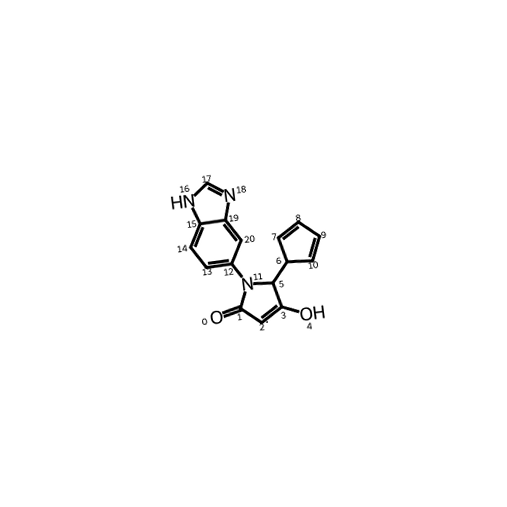 O=C1[C]=C(O)C(C2C=CC=C2)N1c1ccc2[nH]cnc2c1